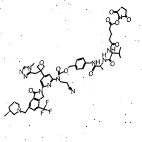 CC(C)[C@H](NC(=O)CCCC(=O)ON1C(=O)CCC1=O)C(=O)N[C@@H](C)C(=O)Nc1ccc(COC(=O)N(CCC#N)c2cc(C3(Cc4nncn4C)COC3)cc(N3Cc4c(cc(CN5CCC[C@H](C)C5)cc4C(F)(F)F)C3=O)n2)cc1